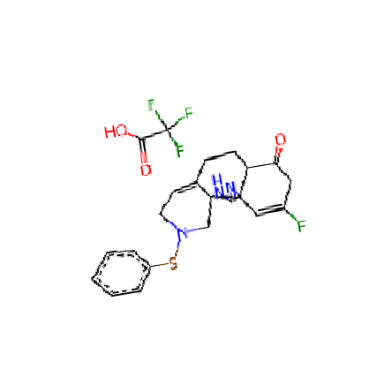 O=C(O)C(F)(F)F.O=C1CC(F)=CC23N=CNC24CN(Sc2ccccc2)CC=C4CCC13